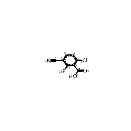 N#Cc1ccc(Cl)c(C(=O)O)c1F